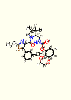 Cc1cccc(-c2sc(C)nc2C(=O)N2C[C@@H]3C[C@@H]3[C@H]2CNC(=O)Oc2cccc3c2OCCO3)c1